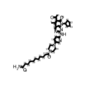 CC(=O)c1c(C)c2cnc(Nc3ccc(N4CCN(C(=O)CCCCCCCCCC(N)=O)CC4)cn3)nc2n(C2CCCC2)c1=O